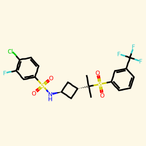 CC(C)([C@H]1C[C@H](NS(=O)(=O)c2ccc(Cl)c(F)c2)C1)S(=O)(=O)c1cccc(C(F)(F)F)c1